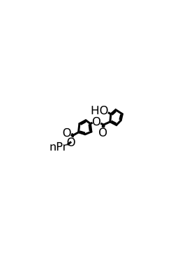 CCCOC(=O)c1ccc(OC(=O)c2ccccc2O)cc1